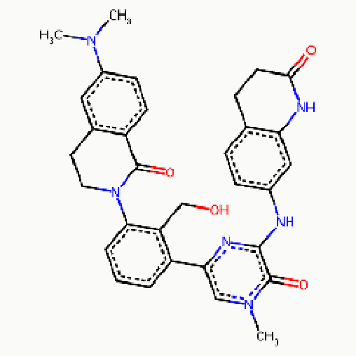 CN(C)c1ccc2c(c1)CCN(c1cccc(-c3cn(C)c(=O)c(Nc4ccc5c(c4)NC(=O)CC5)n3)c1CO)C2=O